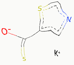 [K+].[O-]C(=S)c1cncs1